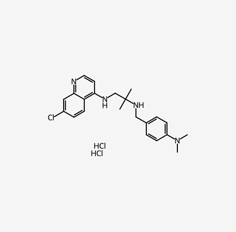 CN(C)c1ccc(CNC(C)(C)CNc2ccnc3cc(Cl)ccc23)cc1.Cl.Cl